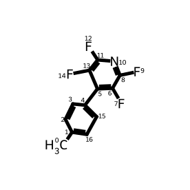 Cc1ccc(-c2c(F)c(F)nc(F)c2F)cc1